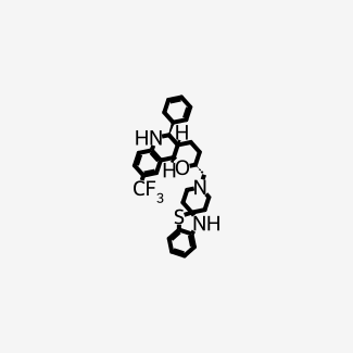 FC(F)(F)c1ccc2c(c1)[C@H]1O[C@@H](CN3CCC4(CC3)Nc3ccccc3S4)CC[C@H]1[C@H](C1C=CC=CC1)N2